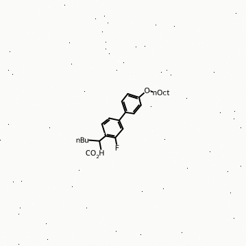 CCCCCCCCOc1ccc(-c2ccc(C(CCCC)C(=O)O)c(F)c2)cc1